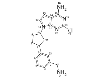 NCc1cccc(C2CCC(n3ccc4c(N)nc(Cl)nc43)C2)c1